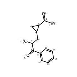 CC(C)C(=O)C1CC1CC(C)C(=O)c1ccccc1